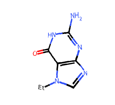 CCn1cnc2nc(N)[nH]c(=O)c21